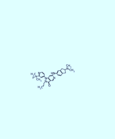 C=CCn1c(=O)c2cnc(Nc3ccc4c(c3)CC(N(C)C)C4)cc2n1-c1ccnc(C(C)(C)F)c1